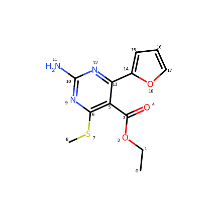 CCOC(=O)c1c(SC)nc(N)nc1-c1ccco1